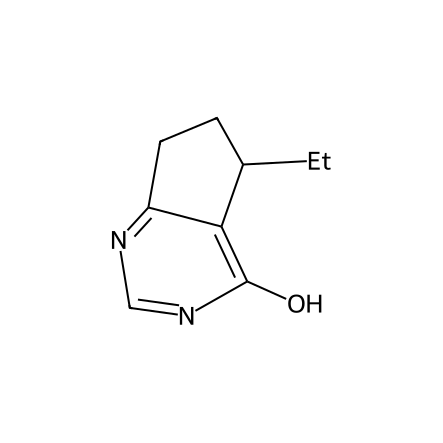 CCC1CCc2ncnc(O)c21